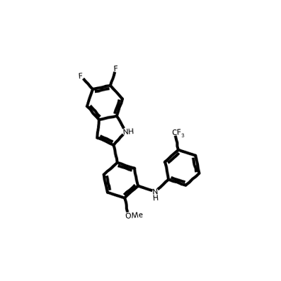 COc1ccc(-c2cc3cc(F)c(F)cc3[nH]2)cc1Nc1cccc(C(F)(F)F)c1